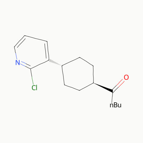 CCCCC(=O)[C@H]1CC[C@H](c2cccnc2Cl)CC1